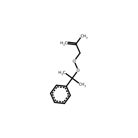 C=C(C)[CH]OOC(C)(C)c1ccccc1